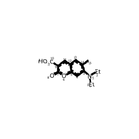 CCN(CC)c1cc2oc(=O)c(C(=O)O)cc2cc1C